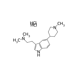 CN(C)CCc1c[nH]c2ccc(C3CCN(C)CC3)cc12.Cl.Cl